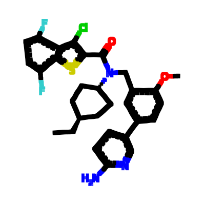 CC[C@H]1CC[C@H](N(Cc2cc(-c3ccc(N)nc3)ccc2OC)C(=O)c2sc3c(F)ccc(F)c3c2Cl)CC1